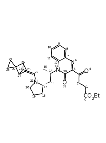 CCOC(=O)CCC(=O)c1nc2ccccc2n([C@@H](C)C[C@@H]2CCCN2C=C2C3CC2C32CC2)c1=O